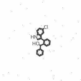 OC(c1ccccc1)c1ccccc1-c1c[nH]c2ccc(Cl)cc12